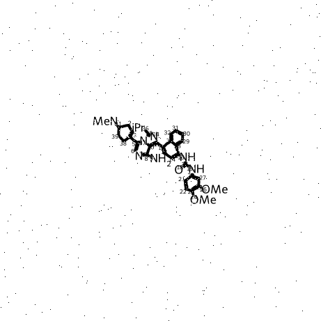 CNC1CC=C(c2cnc(N)c3c(-c4ccc(NC(=O)Nc5ccc(OC)c(OC)c5)c5ccccc45)nc(C(C)C)n23)CC1